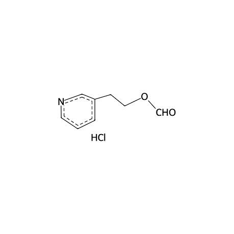 Cl.O=COCCc1cccnc1